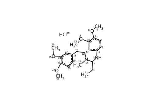 CCC(Nc1ccc(OC)c(OC)c1)N(C)CCc1ccc(OC)c(OC)c1.Cl